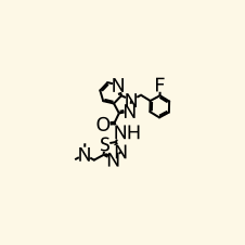 CN(C)Cc1nnc(NC(=O)c2nn(Cc3ccccc3F)c3ncccc23)s1